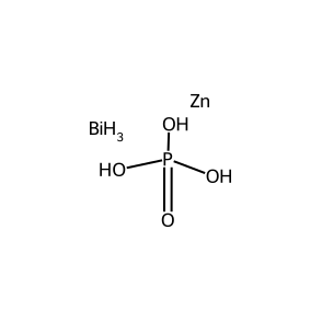 O=P(O)(O)O.[BiH3].[Zn]